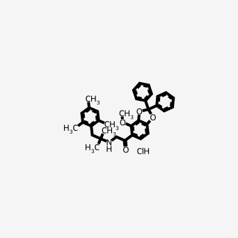 COc1c(C(=O)CNC(C)(C)Cc2c(C)cc(C)cc2C)ccc2c1OC(c1ccccc1)(c1ccccc1)O2.Cl